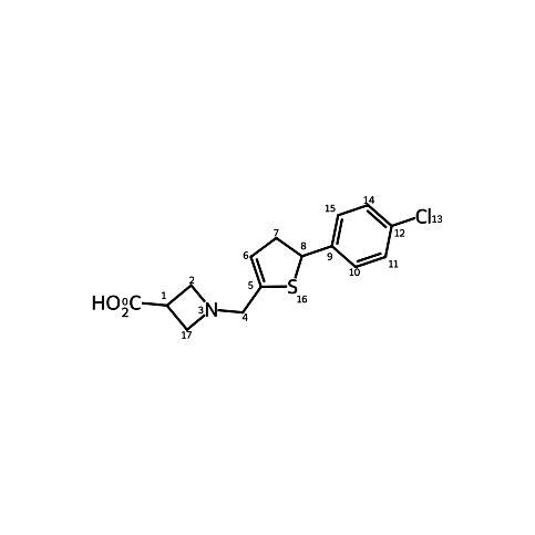 O=C(O)C1CN(CC2=CCC(c3ccc(Cl)cc3)S2)C1